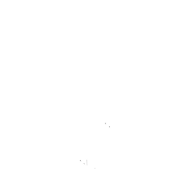 CC(N)CN1CCc2ccc(C(F)(F)F)cc21